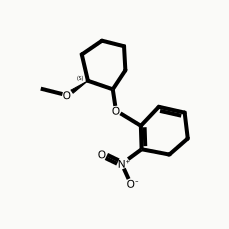 CO[C@H]1CCCCC1OC1=C([N+](=O)[O-])CCC=C1